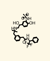 CC(C)(Cc1cccc(CC(=O)NC(c2ccccc2)C(F)(F)F)c1)NC[C@H](O)c1ccc(O)c(NS(C)(=O)=O)c1